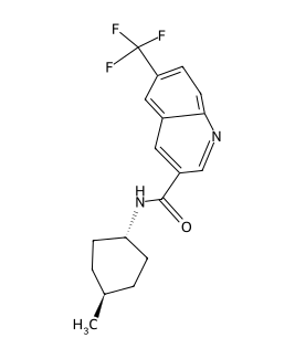 C[C@H]1CC[C@H](NC(=O)c2cnc3ccc(C(F)(F)F)cc3c2)CC1